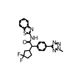 Cn1nnc(-c2ccc(C(C(=O)Nc3nc4ccccc4s3)C3CCC(F)(F)C3)cc2)n1